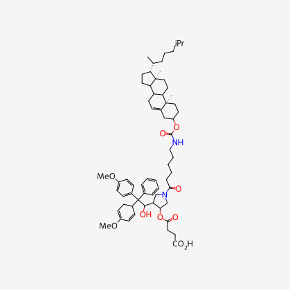 COC1=CCC(C(c2ccccc2)(c2ccc(OC)cc2)C(O)C2CN(C(=O)CCCCCNC(=O)OC3CC[C@@]4(C)C(=CCC5C4CC[C@@]4(C)C5CC[C@@H]4C(C)CCCC(C)C)C3)CC2OC(=O)CCC(=O)O)C=C1